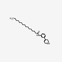 CCCCCCCCCCCCCCCC(=O)Nc1cccc(C2=CCNCC2)c1